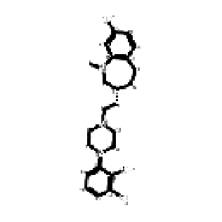 CN1C[C@@H](CCN2CCN(c3cccc(Cl)c3Cl)CC2)CCc2ccc(Cl)cc21